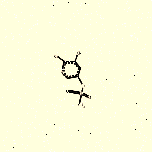 CS(=O)(=O)Oc1cnc(Cl)c(Cl)c1